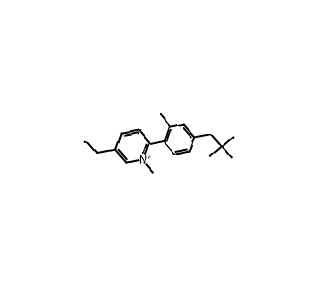 CCc1ccc(-c2ccc(CC(C)(C)C)cc2C)[n+](C)c1